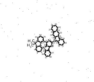 CC1(C)c2ccccc2-c2c(-c3nc(-n4c5ccccc5c5cc6ccccc6cc54)nc4c3sc3ccccc34)cccc21